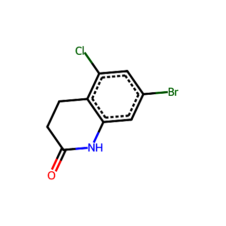 O=C1CCc2c(Cl)cc(Br)cc2N1